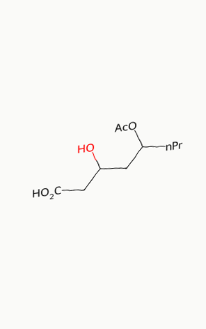 CCCC(CC(O)CC(=O)O)OC(C)=O